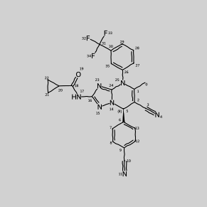 CC1=C(C#N)[C@@H](c2ccc(C#N)cc2)n2nc(NC(=O)C3CC3)nc2N1c1cccc(C(F)(F)F)c1